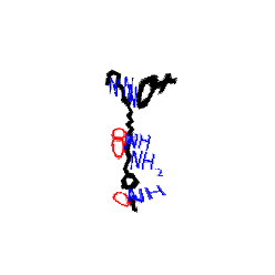 CC(=O)Nc1ccc(CC(N)C(=O)NC(=O)CCCCCc2cc(-c3ccccn3)nn2-c2ccc(C(C)(C)C)cc2)cc1